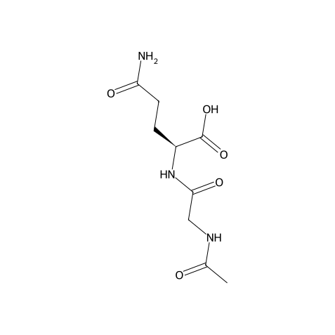 CC(=O)NCC(=O)N[C@@H](CCC(N)=O)C(=O)O